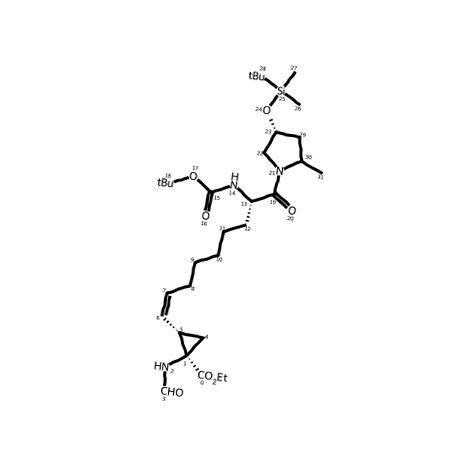 CCOC(=O)[C@@]1(NC=O)C[C@H]1/C=C\CCCCC[C@H](NC(=O)OC(C)(C)C)C(=O)N1C[C@H](O[Si](C)(C)C(C)(C)C)CC1C